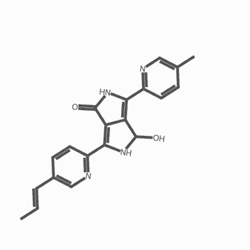 C/C=C/c1ccc(C2=C3C(=O)NC(c4ccc(C)cn4)=C3C(O)N2)nc1